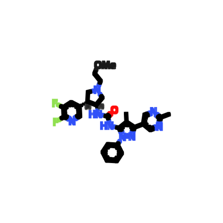 COCCN1C[C@@H](NC(=O)Nc2c(C)c(-c3cnc(C)nc3)nn2-c2ccccc2)[C@H](c2cnc(F)c(F)c2)C1